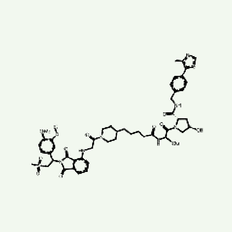 CCOc1cc(C(CS(C)(=O)=O)N2C(=O)c3cccc(NCC(=O)N4CCC(CCCCC(=O)NC(C(=O)N5C[C@H](O)C[C@H]5C(=O)NCc5ccc(-c6scnc6C)cc5)C(C)(C)C)CC4)c3C2=O)ccc1OC